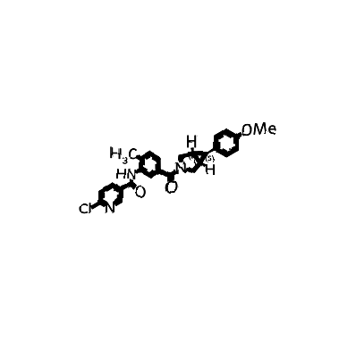 COc1ccc([C@H]2[C@@H]3CN(C(=O)c4ccc(C)c(NC(=O)c5ccc(Cl)nc5)c4)C[C@@H]32)cc1